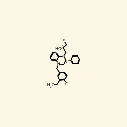 CCc1cc(CN2C[C@@H](c3ccccc3)N(C[C@@H](O)CF)c3ccccc32)ccc1Cl